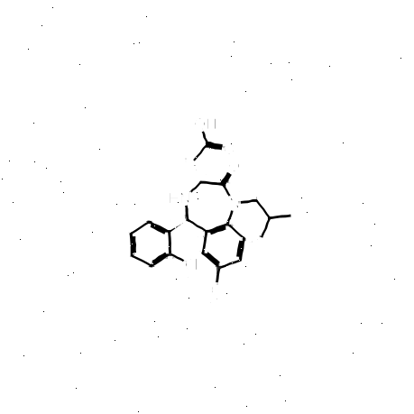 CC(C)CN1C(=O)[C@@H](CC(=O)O)N[C@H](c2ccccc2Cl)c2cc(Cl)ccc21